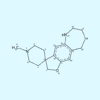 CN1CCC2(CC1)COc1cc3c(cc12)NCCCC3